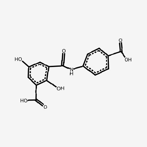 O=C(O)c1ccc(NC(=O)c2cc(O)cc(C(=O)O)c2O)cc1